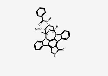 CO[C@@H]1[C@H](N(C)C(=O)c2ccccc2)C[C@@H]2O[C@]1(C)n1c3ccccc3c3c4c(c5c6ccccc6n2c5c31)C(=O)NC4